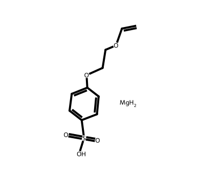 C=COCCOc1ccc(S(=O)(=O)O)cc1.[MgH2]